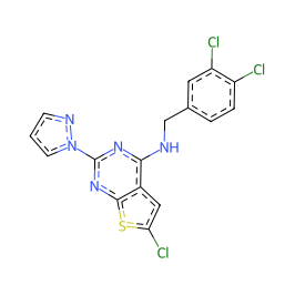 Clc1cc2c(NCc3ccc(Cl)c(Cl)c3)nc(-n3cccn3)nc2s1